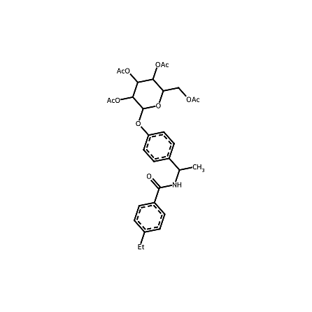 CCc1ccc(C(=O)NC(C)c2ccc(OC3OC(COC(C)=O)C(OC(C)=O)C(OC(C)=O)C3OC(C)=O)cc2)cc1